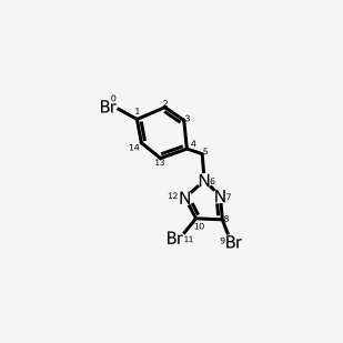 Brc1ccc(Cn2nc(Br)c(Br)n2)cc1